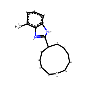 Cc1cccc2c1N=C(C1CCCCCCCCCC1)[N]2